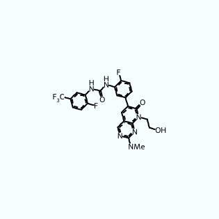 CNc1ncc2cc(-c3ccc(F)c(NC(=O)Nc4cc(C(F)(F)F)ccc4F)c3)c(=O)n(CCO)c2n1